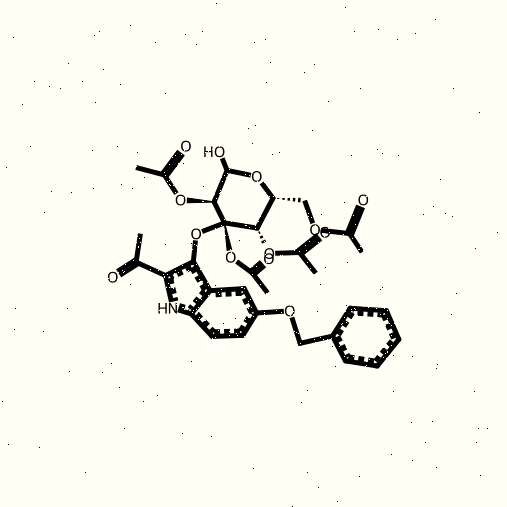 CC(=O)OC[C@H]1OC(O)[C@H](OC(C)=O)[C@@](OC(C)=O)(Oc2c(C(C)=O)[nH]c3ccc(OCc4ccccc4)cc23)[C@H]1OC(C)=O